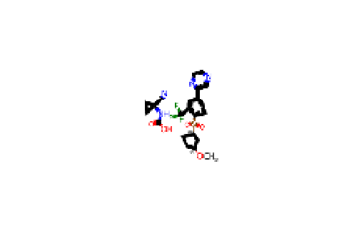 CO[C@@H]1CC[C@@H](S(=O)(=O)c2ccc(-c3cnccn3)cc2C(F)(F)F)C1.N#CC1(NC(=O)O)CC1